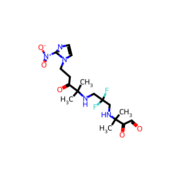 CC(C)(NCC(F)(F)CNC(C)(C)C(=O)CCn1ccnc1[N+](=O)[O-])C(=O)C=O